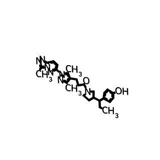 CCC(c1ccc(O)cc1)C1CCN(C(=O)CCc2c(C)nn(-c3ccc4nnc(C)n4n3)c2C)C1